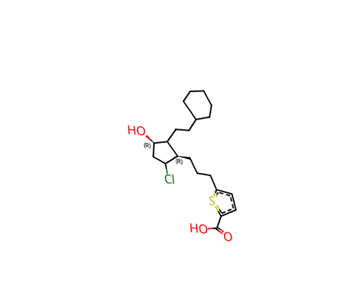 O=C(O)c1ccc(CCC[C@H]2C(Cl)C[C@@H](O)C2CCC2CCCCC2)s1